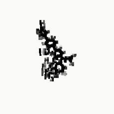 CC1C(N(c2ccc(-c3ccc(-c4cn[nH]c4)cc3O)nn2)C2CC2)CCN(C)C1(C)C